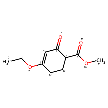 CCOC1=CC(=O)C(C(=O)OC)CC1